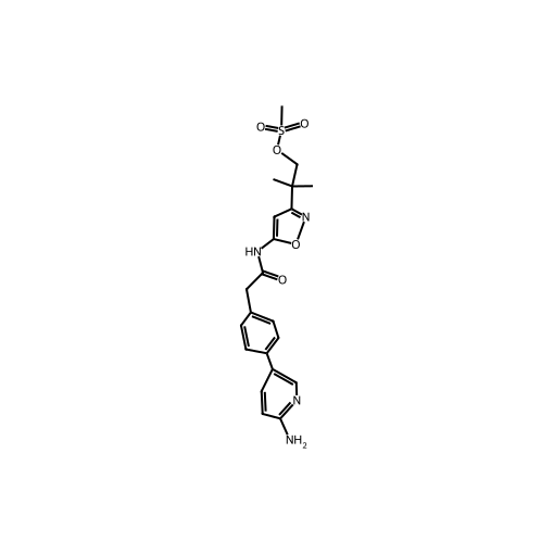 CC(C)(COS(C)(=O)=O)c1cc(NC(=O)Cc2ccc(-c3ccc(N)nc3)cc2)on1